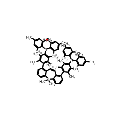 Cc1cc(C)c(N(c2c(C)cc(C)cc2C)c2c(C)c(C)c(-c3cccc4c3C=Cc3c(-c5c(C)c(C)c(N(c6c(C)cc(C)cc6C)c6c(C)cc(C)cc6C)c(C)c5C)cccc3[Si]4(C)C)c(C)c2C)c(C)c1